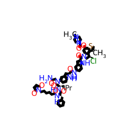 Cc1csc2c(OC(=O)N3CCN(C)CC3)cc3c(c12)[C@@H](CCl)CN3C(=O)c1cc2cc(NC(=O)c3cc4cc(N(CC(N)=O)C(=O)[C@H](CC(C)C)NC(=O)[C@H](Cc5ccccc5)NC(=O)CCCCCN5C(=O)C=CC5=O)ccc4[nH]3)ccc2[nH]1